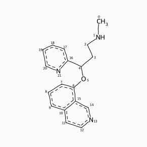 CNCCC(Oc1cccc2ccncc12)c1ccccn1